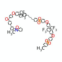 Cc1ccc(S(=O)(=O)c2ccc(Oc3ccc(C(c4ccc(Oc5ccc(S(=O)(=O)c6ccc(CCCCc7ccc(C(c8ccc(Oc9ccc(C(=O)c%10ccc(-c%11ccc(C)c(-c%12nc%13ccccc%13o%12)c%11)cc%10)cc9)cc8)(C(F)(F)F)C(F)(F)F)cc7)cc6)cc5)cc4)(C(F)(F)F)C(F)(F)F)cc3)cc2)cc1